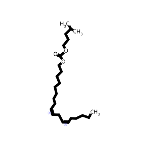 CCCCC/C=C\C/C=C\CCCCCCCCOC(=O)OCCCC(C)C